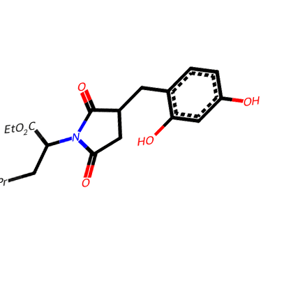 CCOC(=O)C(CC(C)C)N1C(=O)CC(Cc2ccc(O)cc2O)C1=O